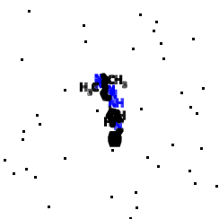 Cc1cnn(C)c1-c1ccc(NC[C@@H]2C[C@@H]3CN(CC4CC5C=CC4C5)C[C@@H]3C2)nn1